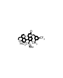 Cc1cc2c(ccc(=O)n2Cc2cc(F)cc(C(F)(F)F)c2)c(-c2ccc3c4c(ccnc24)CCO3)c1[C@H](OC(C)(C)C)C(=O)O